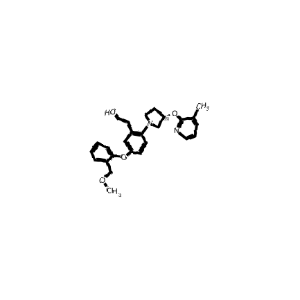 COCc1ccccc1Oc1ccc(N2CC[C@H](Oc3ncccc3C)C2)c(CCO)c1